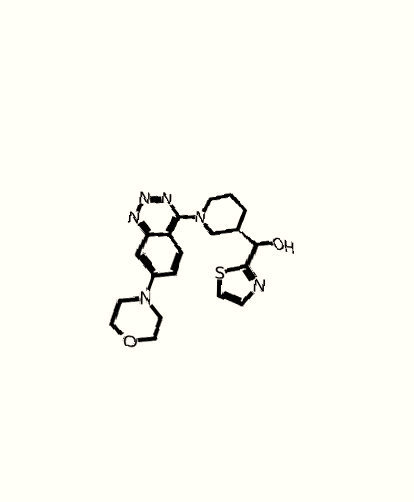 OC(c1nccs1)[C@@H]1CCCN(c2nnnc3cc(N4CCOCC4)ccc23)C1